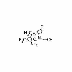 C#CCCN1CCOC(O[C@H](C)c2cc(C(F)(F)F)cc(C(F)(F)F)c2)C1c1ccc(F)cc1